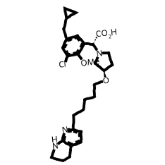 COc1c(Cl)cc(CC2CC2)cc1[C@H](C(=O)O)N1CC[C@@H](OCCCCCc2ccc3c(n2)NCCC3)C1